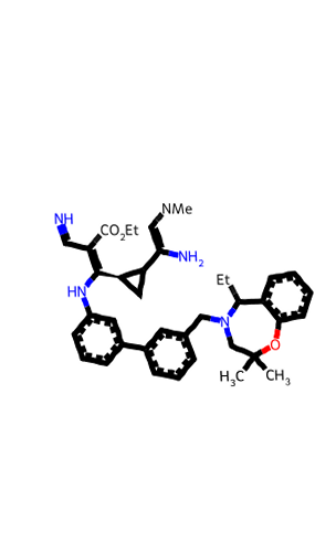 CCOC(=O)/C(C=N)=C(/Nc1cccc(-c2cccc(CN3CC(C)(C)Oc4ccccc4C3CC)c2)c1)[C@@H]1CC1/C(N)=C/NC